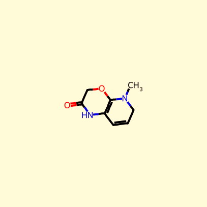 CN1CC=CC2=C1OCC(=O)N2